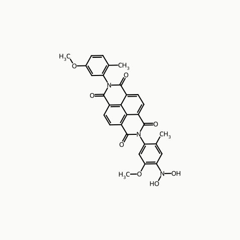 COc1ccc(C)c(N2C(=O)c3ccc4c5c(ccc(c35)C2=O)C(=O)N(c2cc(OC)c(N(O)O)cc2C)C4=O)c1